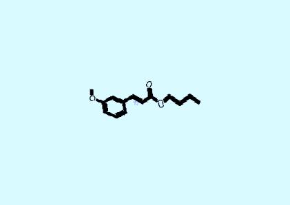 CCCCOC(=O)/C=C/c1cccc(OC)c1